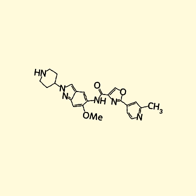 COc1cc2nn(C3CCNCC3)cc2cc1NC(=O)c1coc(-c2ccnc(C)c2)n1